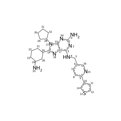 Nc1nc(NCc2ccc(-c3ccsc3)nc2)c2nc(C3CCCC(N)C3)n(C3CCCC3)c2n1